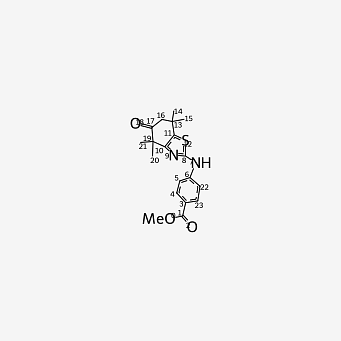 COC(=O)c1ccc(Nc2nc3c(s2)C(C)(C)CC(=O)C3(C)C)cc1